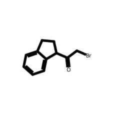 O=C(CBr)C1CCc2ccccc21